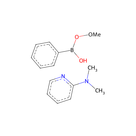 CN(C)c1ccccn1.COOB(O)c1ccccc1